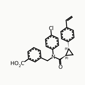 C=Cc1ccc([C@@H]2C[C@H]2C(=O)N(Cc2cccc(C(=O)O)c2)c2ccc(Cl)cc2)cc1